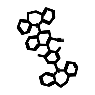 CCC(C)c1cc(N2c3ccccc3CCc3ccccc32)c2ccccc2c1-c1c(C)cc(N2c3ccccc3CCc3ccccc32)cc1C